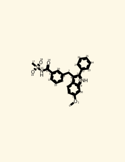 COc1ccc2c(Cc3cccc(C(=O)NS(C)(=O)=O)c3)c(-c3ccccc3)[nH]c2c1